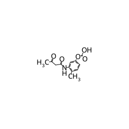 CC(=O)CC(=O)Nc1cc(OC(=O)O)ccc1C